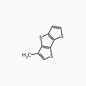 Cc1csc2c1sc1ccsc12